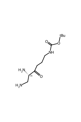 CC(C)(C)OC(=O)NCCCC(=O)[C@@H](N)CN